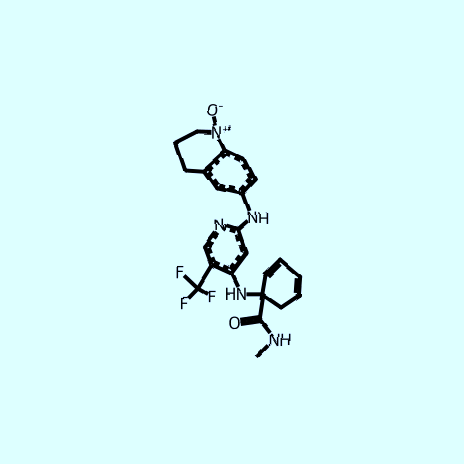 CNC(=O)C1(Nc2cc(Nc3ccc4c(c3)CCC[N+]4(C)[O-])ncc2C(F)(F)F)C=CC=CC1